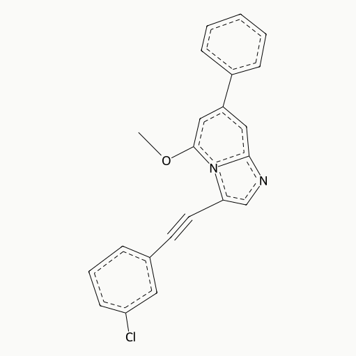 COc1cc(-c2ccccc2)cc2ncc(C#Cc3cccc(Cl)c3)n12